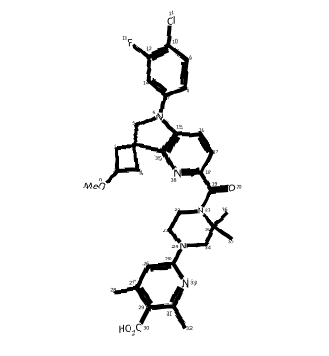 COC1CC2(C1)CN(c1ccc(Cl)c(F)c1)c1ccc(C(=O)N3CCN(c4cc(C)c(C(=O)O)c(C)n4)CC3(C)C)nc12